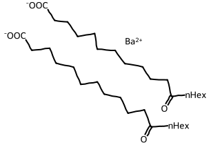 CCCCCCC(=O)CCCCCCCCCCC(=O)[O-].CCCCCCC(=O)CCCCCCCCCCC(=O)[O-].[Ba+2]